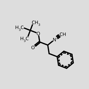 C#[N+]C(Cc1ccccc1)C(=O)OC(C)(C)C